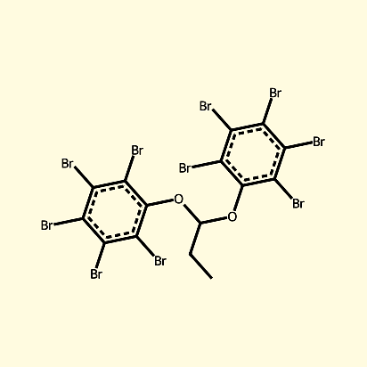 CCC(Oc1c(Br)c(Br)c(Br)c(Br)c1Br)Oc1c(Br)c(Br)c(Br)c(Br)c1Br